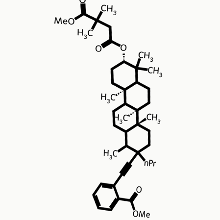 CCCC1(C#Cc2ccccc2C(=O)OC)CC[C@]2(C)C(CCC3[C@@]4(C)CC[C@H](OC(=O)CC(C)(C)C(=O)OC)C(C)(C)C4CC[C@]32C)C1C